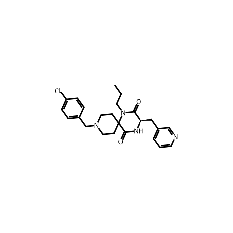 CCCN1C(=O)[C@@H](Cc2cccnc2)NC(=O)C12CCN(Cc1ccc(Cl)cc1)CC2